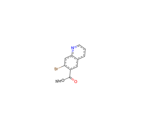 COC(=O)c1cc2cccnc2cc1Br